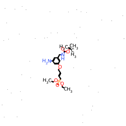 CCOP(=O)(C/C=C/COc1cc(N)cc(CNC(=O)OC(C)(C)C)c1)OCC